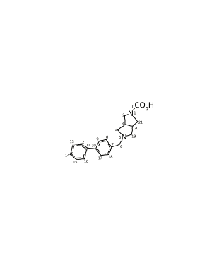 O=C(O)N1CC2CN(Cc3ccc(-c4ccccc4)cc3)CC2C1